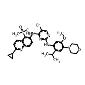 COc1cc(Nc2ncc(Br)c(Nc3ccc4nc(C5CC5)ccc4c3P(C)(C)=O)n2)c(C(C)C)cc1N1CCOCC1